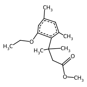 CCOc1cc(C)cc(C)c1C(C)(C)CC(=O)OC